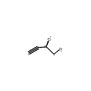 C#CC([O])CCC